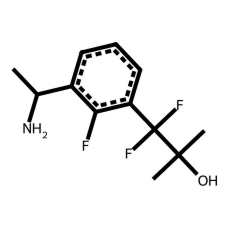 CC(N)c1cccc(C(F)(F)C(C)(C)O)c1F